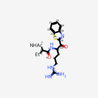 CCC(NC(C)=O)C(=O)NC(CCCNC(=N)N)C(=O)c1nc2ccccc2s1